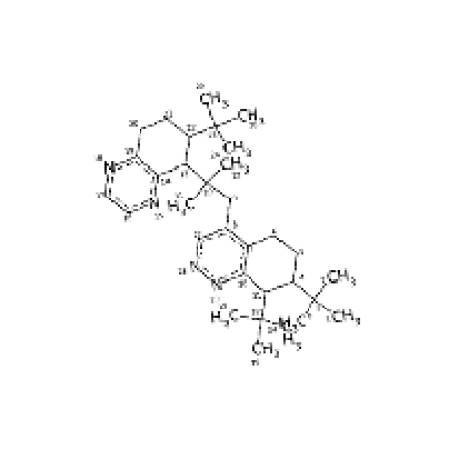 CC(C)(C)C1CCc2c(CC(C)(C)C3c4nccnc4CCC3C(C)(C)C)cnnc2C1C(C)(C)C